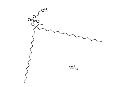 CCCCCCCCCCCCCCCCCCC(CC)(CCCCCCCCCCCCCCCCCC)OS(=O)(=O)OCCO.N